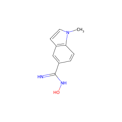 Cn1ccc2cc(C(=N)NO)ccc21